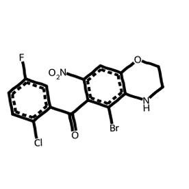 O=C(c1cc(F)ccc1Cl)c1c([N+](=O)[O-])cc2c(c1Br)NCCO2